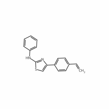 C=Cc1ccc(-c2csc(Nc3ccccc3)n2)cc1